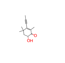 CC#CC1=C(C)C(=O)C(O)CC1(C)C